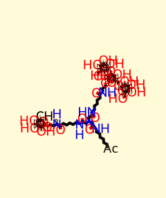 CC(=O)CCCCCCNC(=O)CN(CC(=O)NCCCCCC(=O)NCCO[C@@H]1O[C@@H](C)[C@@H](O)[C@@H](O)[C@@H]1O)CC(=O)NCCCCCC(=O)NCCO[C@H]1O[C@H](CO[C@H]2O[C@H](CO)[C@@H](O)[C@H](O)[C@@H]2O)[C@@H](O)C(O[C@H]2O[C@H](CO)[C@@H](O)[C@H](O)[C@@H]2O)[C@@H]1O